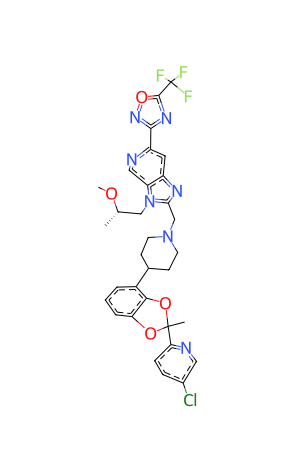 CO[C@@H](C)Cn1c(CN2CCC(c3cccc4c3OC(C)(c3ccc(Cl)cn3)O4)CC2)nc2cc(-c3noc(C(F)(F)F)n3)ncc21